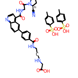 Cc1ccc(S(=O)(=O)O)cc1.Cc1ccc(S(=O)(=O)O)cc1.N#C[C@@H]1CCCN1C(=O)CNC(=O)c1ccnc2ccc(-c3ccc(C(=O)NCCCNCC(=O)O)cc3)cc12